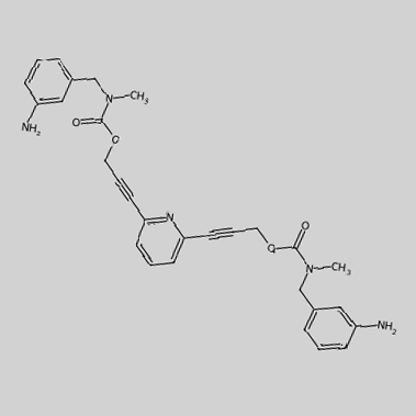 CN(Cc1cccc(N)c1)C(=O)OCC#Cc1cccc(C#CCOC(=O)N(C)Cc2cccc(N)c2)n1